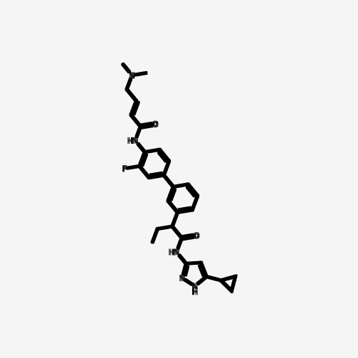 CCC(C(=O)Nc1cc(C2CC2)[nH]n1)c1cccc(-c2ccc(NC(=O)/C=C/CN(C)C)c(F)c2)c1